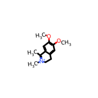 COc1cc2c(cc1OC)C(C)=[N+](C)CC2